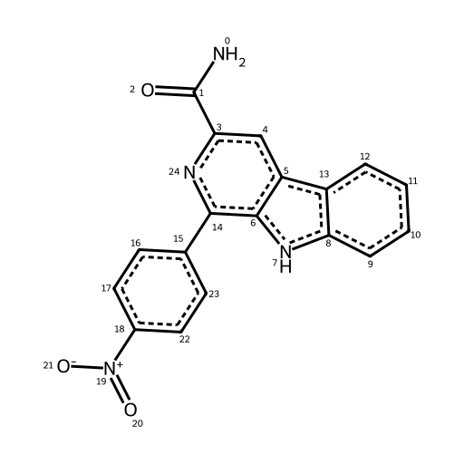 NC(=O)c1cc2c([nH]c3ccccc32)c(-c2ccc([N+](=O)[O-])cc2)n1